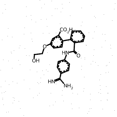 N=C(N)c1ccc(NC(=O)c2ccccc2-c2ccc(OCCO)cc2C(=O)O)cc1